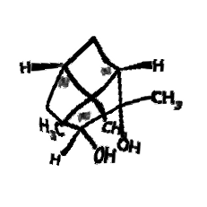 CC1(C)[C@@H]2C[C@@H](O)C(C)(O)[C@H]1C2